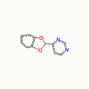 [c]1nccc(C2Oc3ccccc3O2)n1